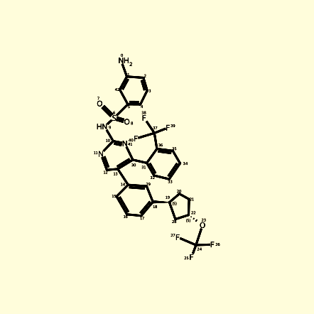 Nc1cccc(S(=O)(=O)Nc2ncc(-c3cccc([C@H]4CC[C@H](OC(F)(F)F)C4)c3)c(-c3ccccc3C(F)(F)F)n2)c1